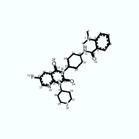 CN(C)c1ccccc1C(=O)NC1CCC(n2c(=O)c3cc(F)cnc3n(C3CCSCC3)c2=O)CC1